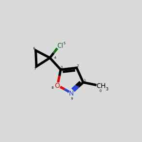 Cc1cc(C2(Cl)CC2)on1